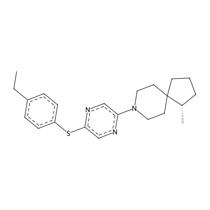 CCc1ccc(Sc2cnc(N3CCC4(CCC[C@@H]4C)CC3)cn2)cc1